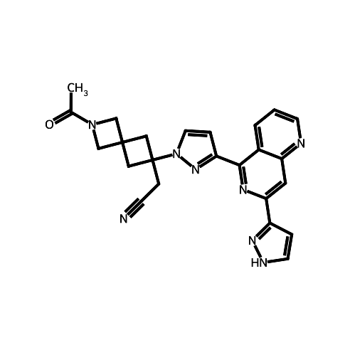 CC(=O)N1CC2(C1)CC(CC#N)(n1ccc(-c3nc(-c4cc[nH]n4)cc4ncccc34)n1)C2